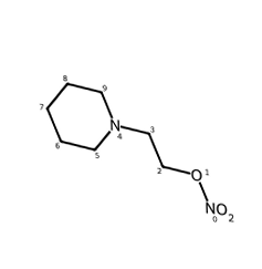 O=[N+]([O-])OCCN1CCCCC1